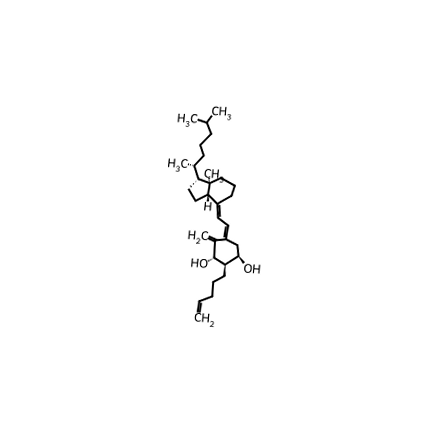 C=CCCC[C@@H]1[C@H](O)C/C(=C/C=C2\CCC[C@]3(C)[C@@H]([C@H](C)CCCC(C)C)CC[C@@H]23)C(=C)[C@H]1O